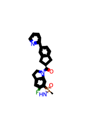 C[S@](=N)(=O)c1cc2c(cc1F)CCN2C(=O)[C@@H]1Cc2ccc(-c3ccccn3)cc2C1